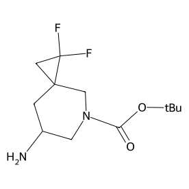 CC(C)(C)OC(=O)N1CC(N)CC2(C1)CC2(F)F